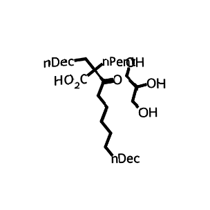 CCCCCCCCCCCCCCCC(=O)C(CCCCC)(CCCCCCCCCCC)C(=O)O.OCC(O)CO